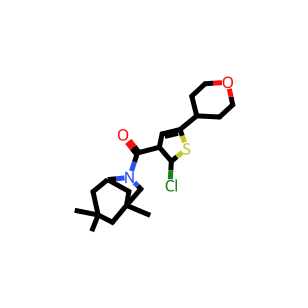 CC1(C)CC2CC(C)(CN2C(=O)C2C=C(C3CCOCC3)SC2Cl)C1